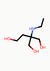 CCNC(CO)(CO)CCO